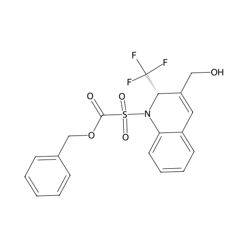 O=C(OCc1ccccc1)S(=O)(=O)N1c2ccccc2C=C(CO)[C@H]1C(F)(F)F